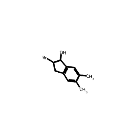 Cc1cc2c(cc1C)C(O)C(Br)C2